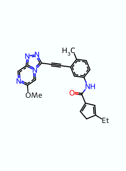 CCC1=CC(C(=O)Nc2ccc(C)c(C#Cc3nnc4cnc(OC)cn34)c2)=CC1